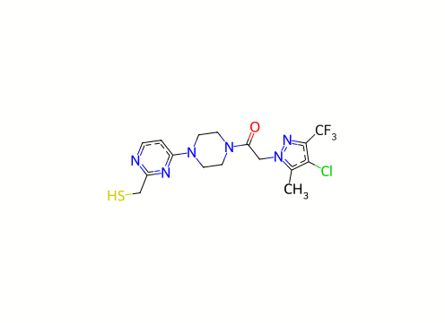 Cc1c(Cl)c(C(F)(F)F)nn1CC(=O)N1CCN(c2ccnc(CS)n2)CC1